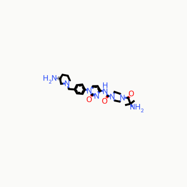 CC(C)(N)C(=O)N1CCN(C(=O)Nc2ccn(-c3ccc(CN4CCC[C@@H](N)C4)cc3)c(=O)n2)CC1